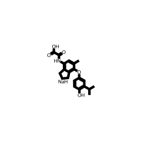 Cc1cc(NC(=O)C(=O)O)c2c(c1Oc1ccc(O)c(C(C)C)c1)CCC2.[NaH]